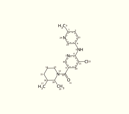 Cc1ccc(Nc2ncc(C(=O)N3CCCC(C)C3C)cc2Cl)cn1